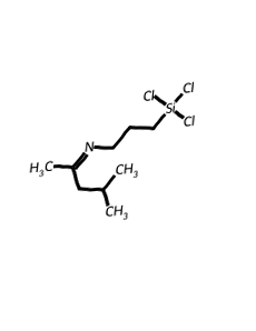 CC(CC(C)C)=NCCC[Si](Cl)(Cl)Cl